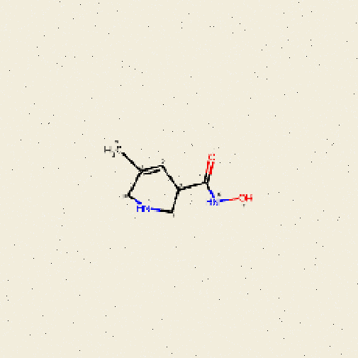 CC1=CC(C(=O)NO)CNC1